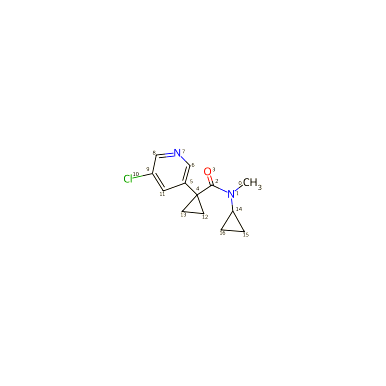 CN(C(=O)C1(c2cncc(Cl)c2)CC1)C1CC1